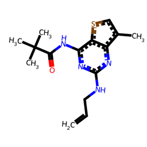 C=CCNc1nc(NC(=O)C(C)(C)C)c2scc(C)c2n1